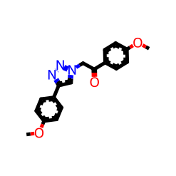 COc1ccc(C(=O)Cn2cc(-c3ccc(OC)cc3)nn2)cc1